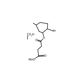 CC(=O)O.COC(=O)CCC(=O)OC1CC(C)CCC1C(C)C